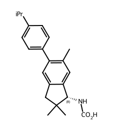 Cc1cc2c(cc1-c1ccc(C(C)C)cc1)CC(C)(C)[C@H]2NC(=O)O